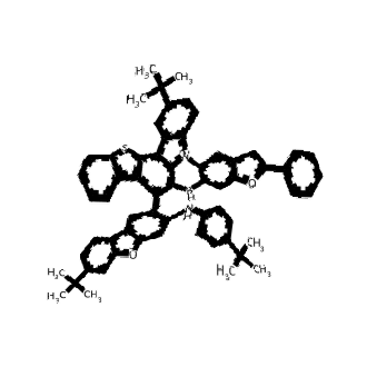 CC(C)(C)c1ccc(Nc2cc3oc4cc(C(C)(C)C)ccc4c3cc2-c2c3c4c(c5cc(C(C)(C)C)ccc5n4-c4cc5cc(-c6ccccc6)oc5cc4B3)c3sc4ccccc4c23)cc1